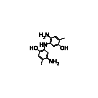 Cc1cc(O)c(Nc2cc(O)c(C)cc2N)cc1N